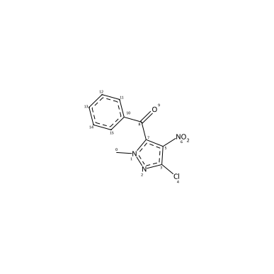 Cn1nc(Cl)c([N+](=O)[O-])c1C(=O)c1ccccc1